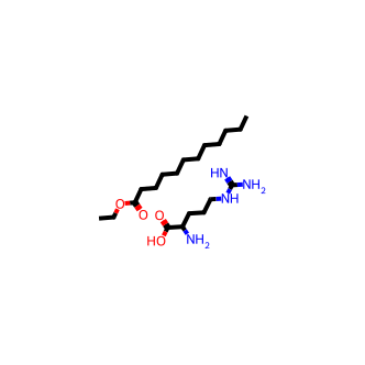 CCCCCCCCCCCC(=O)OCC.N=C(N)NCCCC(N)C(=O)O